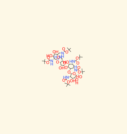 CC(C)(C)OC(=O)NCC1O[C@H](O[C@H]2[C@@H](O)[C@H](O[C@H]3C(O[C@H]4O[C@H](CO)[C@@H](O)[C@H](O)[C@H]4NC(=O)OC(C)(C)C)[C@@H](NC(=O)OC(C)(C)C)C[C@@H](NC(=O)OC(C)(C)C)[C@@H]3O)O[C@@H]2CN)[C@H](NC(=O)OC(C)(C)C)[C@@H](O)[C@@H]1O